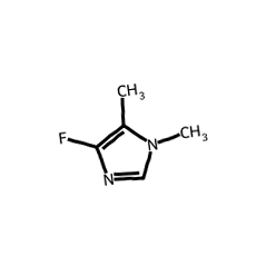 Cc1c(F)ncn1C